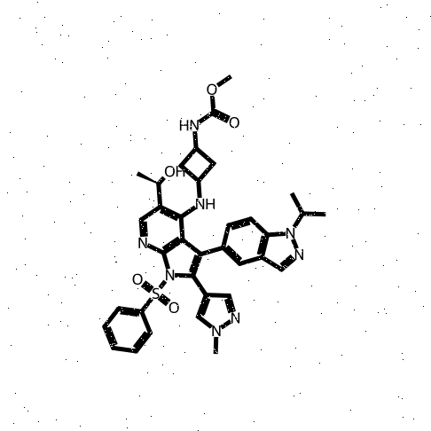 COC(=O)NC1CC(Nc2c([C@@H](C)O)cnc3c2c(-c2ccc4c(cnn4C(C)C)c2)c(-c2cnn(C)c2)n3S(=O)(=O)c2ccccc2)C1